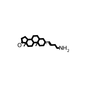 C[C@]12CC[C@H](C=CCCN)CC1CCC1C2CC[C@]2(C)C(=O)CCC12